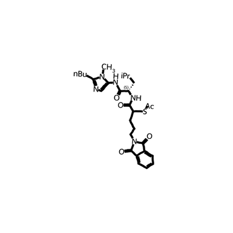 CCCCc1ncc(NC(=O)[C@H](CC(C)C)NC(=O)C(CCCN2C(=O)c3ccccc3C2=O)SC(C)=O)n1C